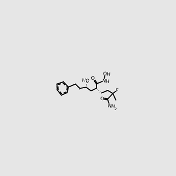 CC(F)(CC[C@H](C[C@@H](O)[CH]Cc1ccccc1)C(=O)NO)C(N)=O